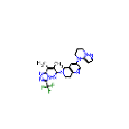 Cc1c(N2CCc3ncc(N4CCCn5nccc54)cc3C2)nn2c(C(F)(F)F)nnc2c1C